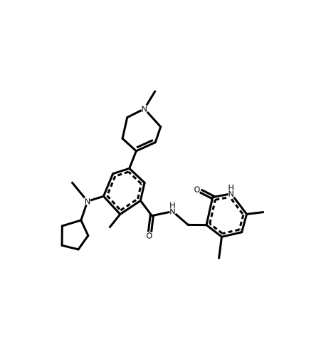 Cc1cc(C)c(CNC(=O)c2cc(C3=CCN(C)CC3)cc(N(C)C3CCCC3)c2C)c(=O)[nH]1